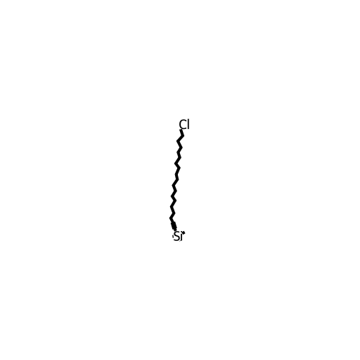 C[Si](C)(C)C#CCCCCCCCCCCCCCCCCCCl